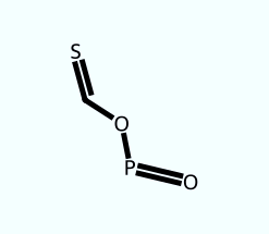 O=POC=S